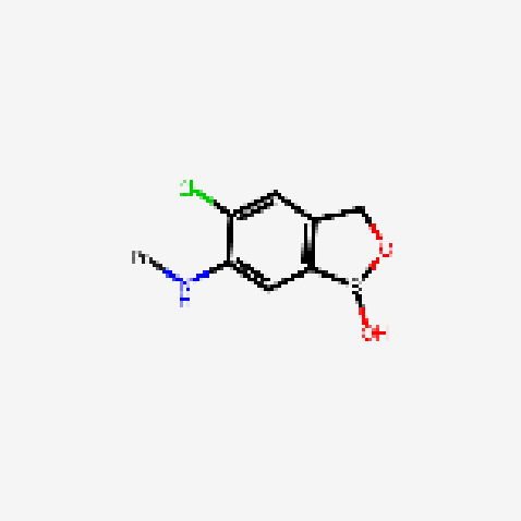 CC(C)Nc1cc2c(cc1Cl)COB2O